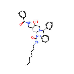 CCCCCCCNC(=O)NC1CC(CNC(=O)c2ccccc2)C(O)CN1C(c1ccccc1)c1ccccc1